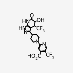 O=C(O)c1cc(N2CCC(c3n[nH]c4c3[C@H](C(F)(F)F)[C@H](O)C(=O)N4)CC2)ncc1C(F)(F)F